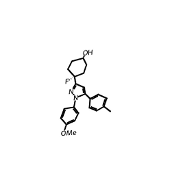 COc1ccc(-n2nc([C@]3(F)CC[C@H](O)CC3)cc2-c2ccc(C)cc2)cc1